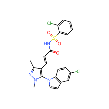 Cc1nn(C)c(-n2ccc3cc(Cl)ccc32)c1/C=C/C(=O)NS(=O)(=O)c1ccccc1Cl